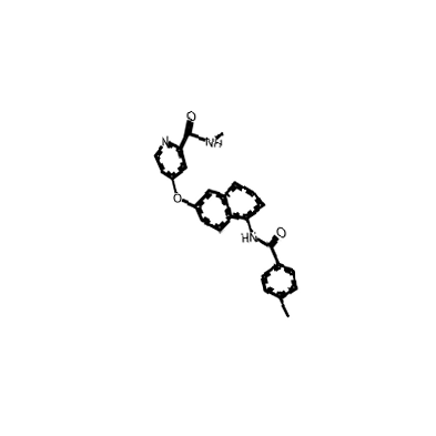 CNC(=O)c1cc(Oc2ccc3c(NC(=O)c4ccc(C)cc4)cccc3c2)ccn1